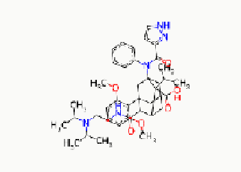 COc1cccc(OC)c1C12CC3CC(C1C(=O)NCCN(C(C)C)C(C)C)C(C(=O)O)(C(C)C)C(N(C(=O)c1cc[nH]n1)c1ccccc1)(C3)C2